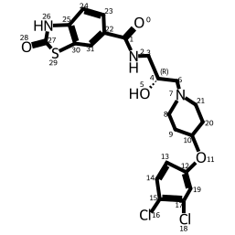 O=C(NC[C@@H](O)CN1CCC(Oc2ccc(Cl)c(Cl)c2)CC1)c1ccc2[nH]c(=O)sc2c1